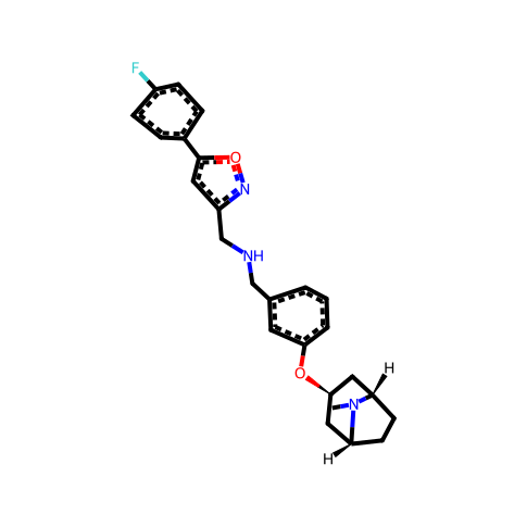 CN1[C@@H]2CC[C@H]1C[C@H](Oc1cccc(CNCc3cc(-c4ccc(F)cc4)on3)c1)C2